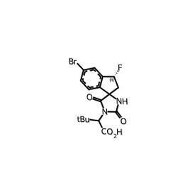 CC(C)(C)C(C(=O)O)N1C(=O)NC2(C[C@@H](F)c3cc(Br)ccc32)C1=O